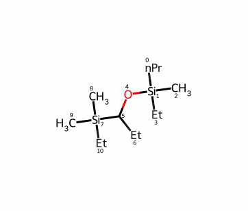 CCC[Si](C)(CC)OC(CC)[Si](C)(C)CC